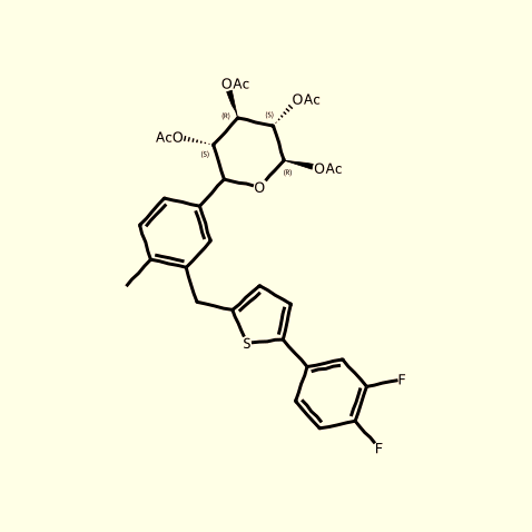 CC(=O)O[C@H]1OC(c2ccc(C)c(Cc3ccc(-c4ccc(F)c(F)c4)s3)c2)[C@H](OC(C)=O)[C@@H](OC(C)=O)[C@@H]1OC(C)=O